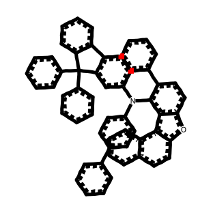 c1ccc(-c2ccc(N(c3ccc4c(c3)C(c3ccccc3)(c3ccccc3)c3ccccc3-4)c3c(-c4ccccc4)ccc4oc5ccc6ccccc6c5c34)cc2)cc1